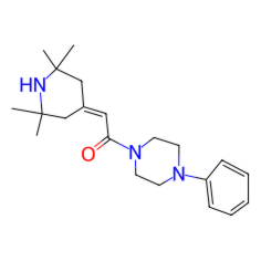 CC1(C)CC(=CC(=O)N2CCN(c3ccccc3)CC2)CC(C)(C)N1